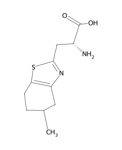 CC1CCc2sc(C[C@@H](N)C(=O)O)nc2C1